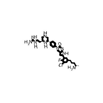 C[C@H](N)CCCc1cc(Cl)c(F)c(-c2cc3cn(-c4ccc([C@H]5CNC[C@H](CCNC(=N)N)N5)cc4)c(=O)nc3[nH]2)c1